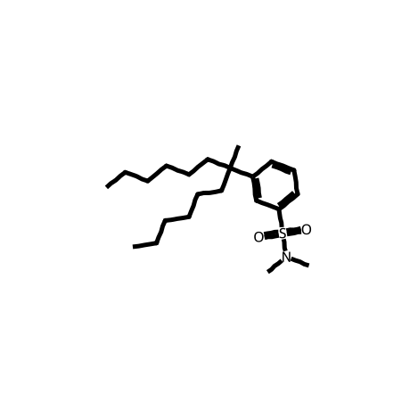 CCCCCCC(C)(CCCCCC)c1cccc(S(=O)(=O)N(C)C)c1